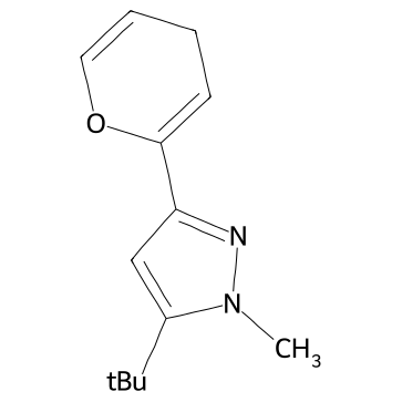 Cn1nc(C2=CCC=CO2)cc1C(C)(C)C